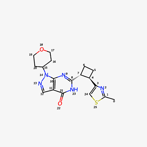 Cc1nc([C@@H]2CC[C@H]2c2nc3c(cnn3C3CCOCC3)c(=O)[nH]2)cs1